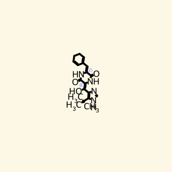 CC(C)(C)c1[nH]cnc1/C(O)=c1\[nH]c(=O)/c(=C/C2=CCCC=C2)[nH]c1=O